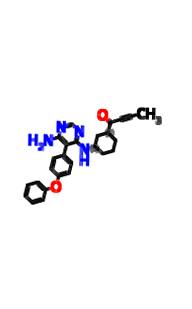 CC#CC(=O)[C@H]1CCC[C@H](Nc2ncnc(N)c2-c2ccc(Oc3ccccc3)cc2)C1